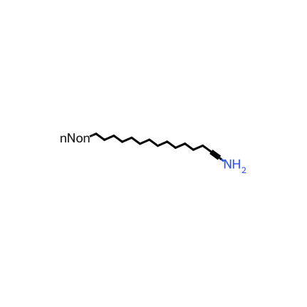 CCCCCCCCCCCCCCCCCCCCCCC#CN